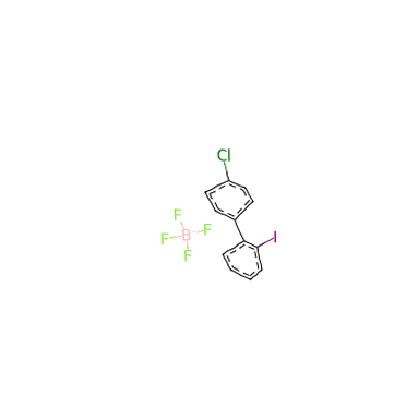 Clc1ccc(-c2ccccc2I)cc1.F[B-](F)(F)F